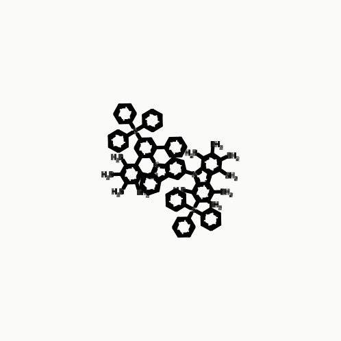 Bc1c(B)c(B)c(-c2cc(S(c3ccccc3)(c3ccccc3)c3ccccc3)cc(-c3ccccc3)c2-n2c3ccccc3c3cc(-n4c5c(B)c(B)c(B)c(B)c5c5c(B)c(B)c(S(c6ccccc6)(c6ccccc6)c6ccccc6)c(B)c54)ccc32)c(B)c1B